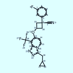 N#C[C@]1(c2cccc(F)c2)C[C@H](Oc2ccn3c(CC4CC4)nnc3c2C(F)(F)F)C1